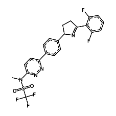 CN(c1ccc(-c2ccc(C3CCC(c4c(F)cccc4F)=N3)cc2)nn1)S(=O)(=O)C(F)(F)F